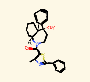 Cc1nc(-c2ccccc2)sc1C(=O)N1CC[C@](O)(c2ccccc2)[C@H]2CCCC[C@H]21